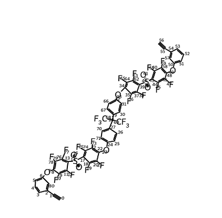 C#Cc1cccc(Oc2c(F)c(F)c(S(=O)(=O)c3c(F)c(F)c(Oc4ccc(C(c5ccc(Oc6c(F)c(F)c(S(=O)(=O)c7c(F)c(F)c(Oc8cccc(C#C)c8)c(F)c7F)c(F)c6F)cc5)(C(F)(F)F)C(F)(F)F)cc4)c(F)c3F)c(F)c2F)c1